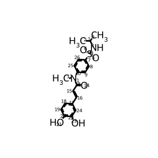 CC(C)NS(=O)(=O)c1ccc(N(C)C(=O)C=Cc2ccc(O)c(O)c2)cc1